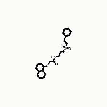 O=C(COc1cccc2ccccc12)NCCNS(=O)(=O)C=Cc1ccccc1